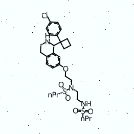 CCCS(=O)(=O)NCCN(CCOc1ccc2c(c1)C(C1(c3ccc(Cl)cc3)CCC1)NCC2)S(=O)(=O)CCC